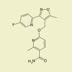 Cc1nc(OCc2c(-c3ccc(F)cn3)noc2C)ccc1C(N)=O